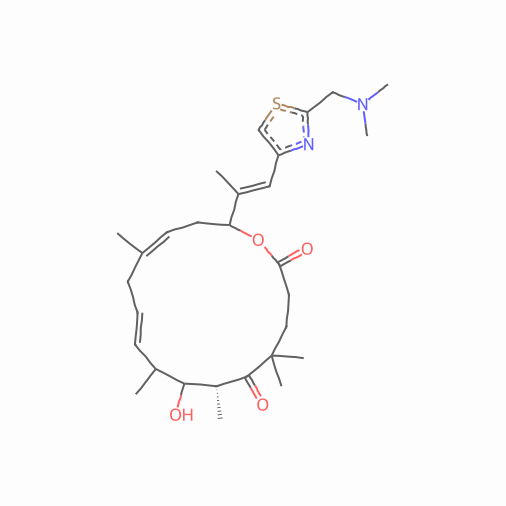 C/C1=C/CC(/C(C)=C/c2csc(CN(C)C)n2)OC(=O)CCC(C)(C)C(=O)[C@H](C)C(O)C(C)/C=C/C1